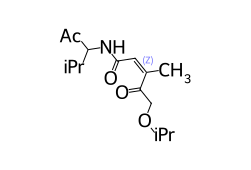 CC(=O)C(NC(=O)/C=C(/C)C(=O)COC(C)C)C(C)C